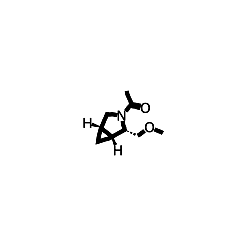 COC[C@@H]1[C@@H]2C[C@@H]2CN1C(C)=O